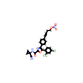 N#CC1(NC(=O)c2nc(-c3ccc(C#CCCO[N+](=O)[O-])cc3)c(-c3ccc(Cl)cc3Cl)o2)CC1